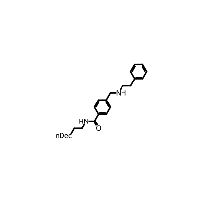 CCCCCCCCCCCCNC(=O)c1ccc(CNCCc2ccccc2)cc1